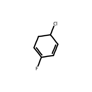 FC1=CC[C](Cl)C=C1